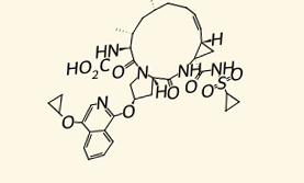 C[C@@H]1CC/C=C\[C@@H]2C[C@@]2(C(=O)NS(=O)(=O)C2CC2)NC(=O)[C@@H]2C[C@@H](Oc3ncc(OC4CC4)c4ccccc34)CN2C(=O)[C@@H](NC(=O)O)[C@H](C)C1